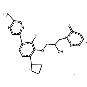 Nc1cnc(-c2ccc(C3CCC3)c(OCC(O)Cn3ncccc3=O)c2F)cn1